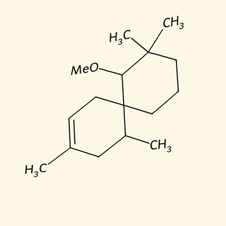 COC1C(C)(C)CCCC12CC=C(C)CC2C